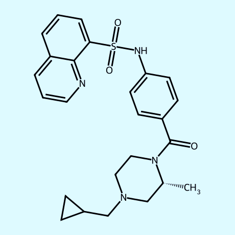 C[C@@H]1CN(CC2CC2)CCN1C(=O)c1ccc(NS(=O)(=O)c2cccc3cccnc23)cc1